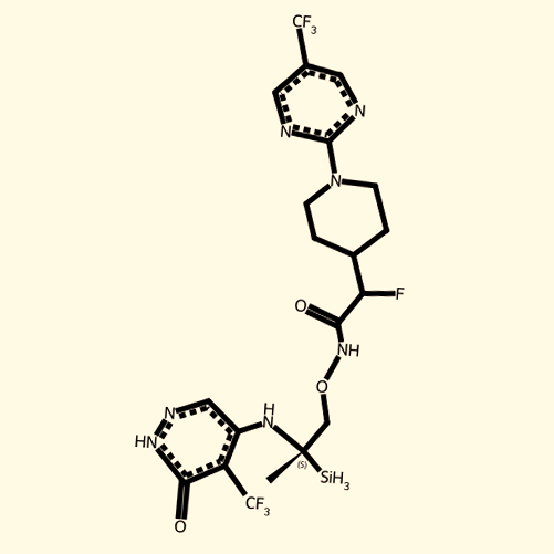 C[C@]([SiH3])(CONC(=O)C(F)C1CCN(c2ncc(C(F)(F)F)cn2)CC1)Nc1cn[nH]c(=O)c1C(F)(F)F